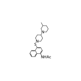 CC(=O)Nc1ccc(SN2CCC(N3CCCC(C)C3)CC2)c2ccccc12